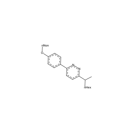 CCCCCCCCCOc1ccc(-c2ccc(C(C)CCCCCC)nn2)cc1